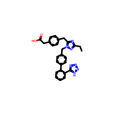 CCc1nc(Cc2ccc(CC(=O)O)cc2)n(Cc2ccc(-c3ccccc3-c3nnn[nH]3)cc2)n1